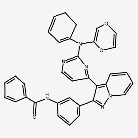 O=C(Nc1cccc(-c2nn3ccccc3c2-c2ccnc(N(C3=CC=CCC3)C3=COC=CO3)n2)c1)c1ccccc1